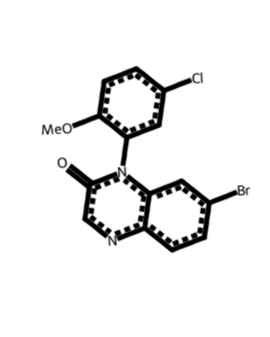 COc1ccc(Cl)cc1-n1c(=O)cnc2ccc(Br)cc21